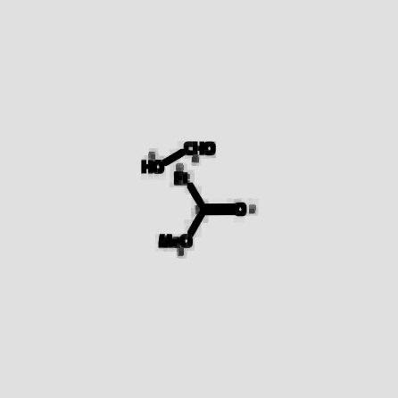 CCC(=O)OC.O=CO